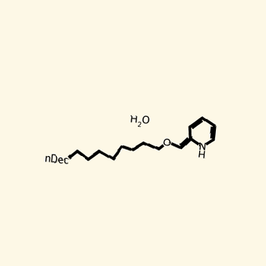 CCCCCCCCCCCCCCCCCCOC=C1C=CC=CN1.O